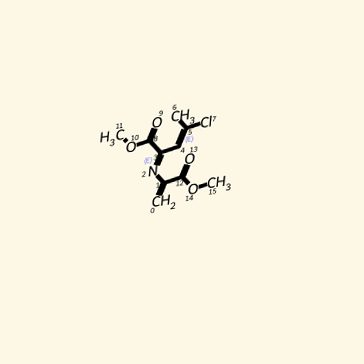 C=C(/N=C(\C=C(/C)Cl)C(=O)OC)C(=O)OC